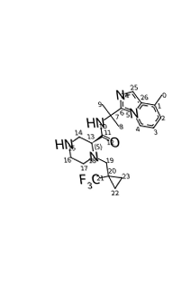 Cc1cccn2c(C(C)(C)NC(=O)[C@@H]3CNCCN3CC3(C(F)(F)F)CC3)ncc12